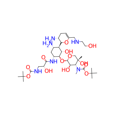 CN(C(=O)OC(C)(C)C)[C@@H]1[C@@H](O)[C@@H](O[C@@H]2[C@@H](O)[C@H](C3OC(CNCCO)=CC[C@H]3N)[C@@H](N)C[C@H]2NC(=O)[C@H](O)CNC(=O)OC(C)(C)C)OC[C@]1(C)O